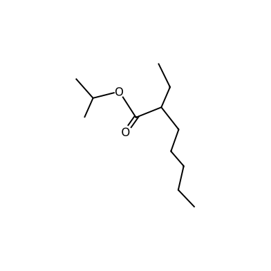 CCCCCC(CC)C(=O)OC(C)C